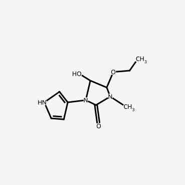 CCOC1C(O)N(c2cc[nH]c2)C(=O)N1C